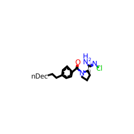 CCCCCCCCCCCCc1ccc(C(=O)N2CCC[C@H]2/C(N)=N\Cl)cc1